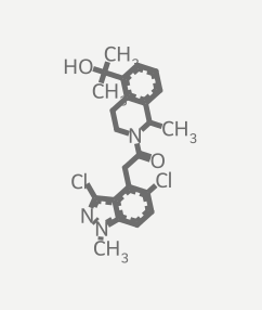 CC1c2cccc(C(C)(C)O)c2CCN1C(=O)Cc1c(Cl)ccc2c1c(Cl)nn2C